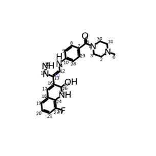 CN1CCN(C(=O)c2ccc(N/C=C(\N=N)C3=Cc4cccc(F)c4NC3O)cc2)CC1